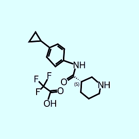 O=C(Nc1ccc(C2CC2)cc1)[C@H]1CCCNC1.O=C(O)C(F)(F)F